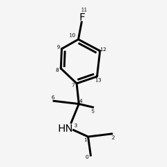 CC(C)NC(C)(C)c1ccc(F)cc1